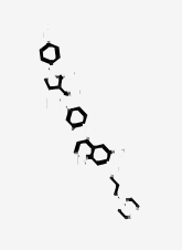 COc1cc2c(Oc3ccc(NC(=O)C4CCN(c5ccc(Cl)cc5)C4=O)cc3F)ccnc2cc1OCCCN1CCOCC1